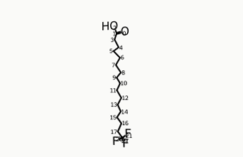 O=C(O)CCCCCCCCCCCCCCCC(F)(F)F